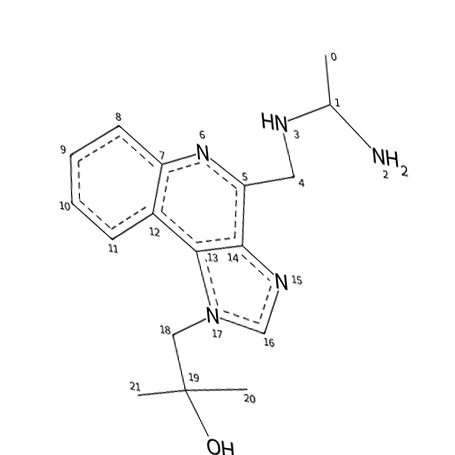 CC(N)NCc1nc2ccccc2c2c1ncn2CC(C)(C)O